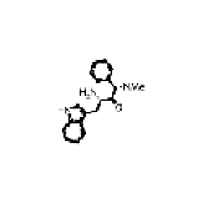 CN[C@H](C(=O)[C@@H](N)Cc1c[nH]c2ccccc12)c1ccccc1